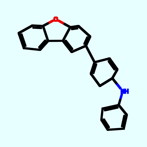 C1=CC(Nc2ccccc2)CC=C1c1ccc2oc3ccccc3c2c1